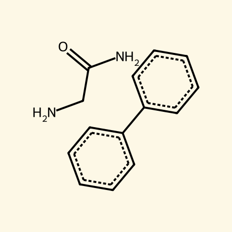 NCC(N)=O.c1ccc(-c2ccccc2)cc1